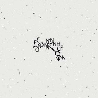 C=CC(=O)N1C[C@@H](n2nc(C#Cc3cc4ncn(CC)c4cc3Cl)c3c(N)ncnc32)C[C@@H]1C(F)F